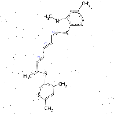 C=C(/C=C/C=C/C=C1\Sc2ccc(C)cc2N1C)Sc1ccc(C)cc1C